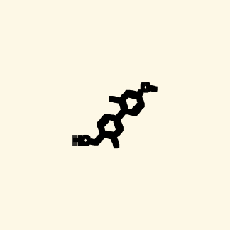 COc1ccc(-c2ccc(CO)c(C)c2)c(C)c1